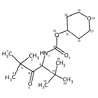 CC(C)(C)C(=O)C(NC(=O)OC1CCOCC1)C(C)(C)C